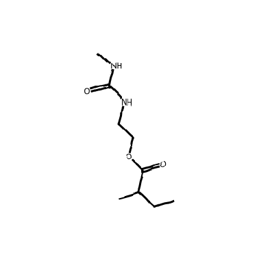 CCC(C)C(=O)OCCNC(=O)NC